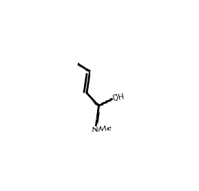 C/C=C/C(O)NC